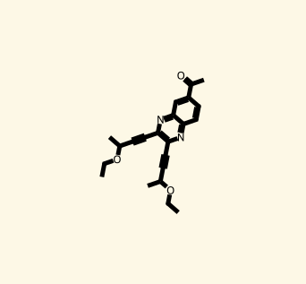 CCOC(C)C#Cc1nc2ccc(C(C)=O)cc2nc1C#CC(C)OCC